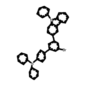 Brc1cc(-c2ccc(N(c3ccccc3)c3ccccc3)cc2)cc(-c2ccc3c(c2)c2ccccc2n3-c2ccccc2)c1